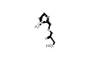 CCOC(=O)CC(=O)COCc1nccn1C